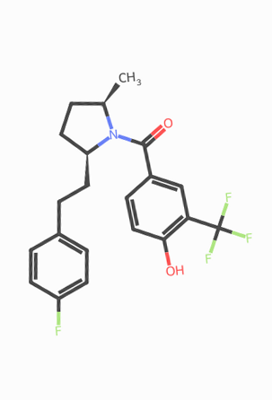 C[C@@H]1CC[C@H](CCc2ccc(F)cc2)N1C(=O)c1ccc(O)c(C(F)(F)F)c1